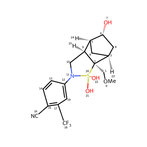 COC[C@@]12[C@H]3C[C@H]([C@H](O)C3)[C@@H]1CN(c1ccc(C#N)c(C(F)(F)F)c1)S2(O)O